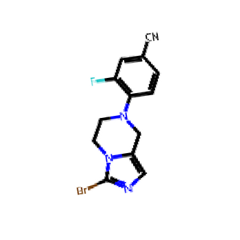 N#Cc1ccc(N2CCn3c(cnc3Br)C2)c(F)c1